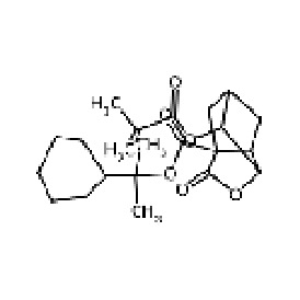 C=C(C)C(=O)OC1C2CC3C1OC(=O)C3(C(=O)OC(C)(C)C1CCCCC1)C2